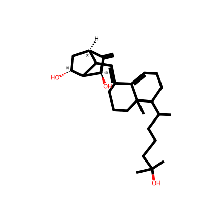 C=C1[C@@H](O)C2C(C=C3CCCC4(C)C3=CCCC4C(C)CCCC(C)(C)O)[C@H]1C[C@H]2O